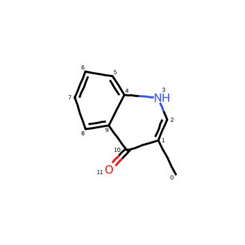 Cc1c[nH]c2ccccc2c1=O